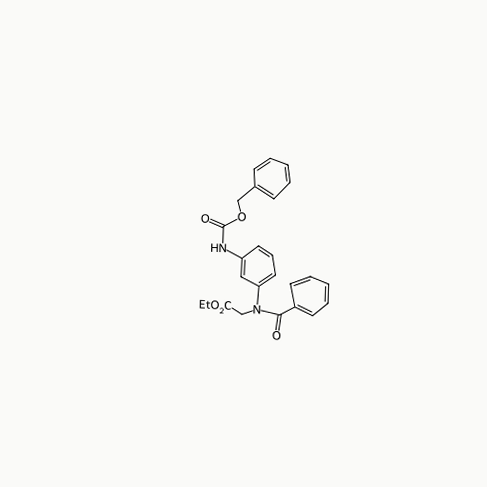 CCOC(=O)CN(C(=O)c1ccccc1)c1cccc(NC(=O)OCc2ccccc2)c1